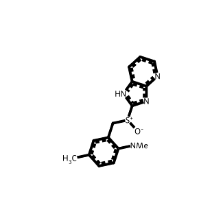 CNc1ccc(C)cc1C[S+]([O-])c1nc2ncccc2[nH]1